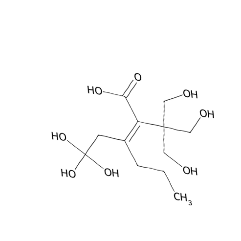 CCCC(CC(O)(O)O)=C(C(=O)O)C(CO)(CO)CO